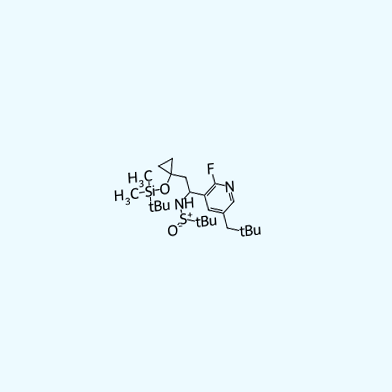 CC(C)(C)Cc1cnc(F)c(C(CC2(O[Si](C)(C)C(C)(C)C)CC2)N[S+]([O-])C(C)(C)C)c1